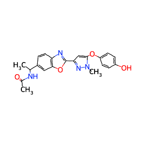 CC(=O)NC(C)c1ccc2nc(-c3cc(Oc4ccc(O)cc4)n(C)n3)oc2c1